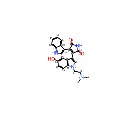 CN(C)CCn1cc(C2=C(c3c[nH]c4ccccc34)C(=O)NC2=O)c2cc(O)ccc21